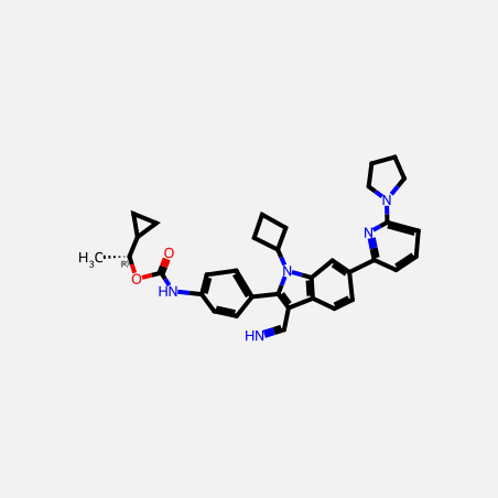 C[C@@H](OC(=O)Nc1ccc(-c2c(C=N)c3ccc(-c4cccc(N5CCCC5)n4)cc3n2C2CCC2)cc1)C1CC1